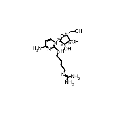 NC(N)=NCCCCNc1nc(N)cc[n+]1[C@@H]1O[C@H](CO)[C@@H](O)[C@H]1O